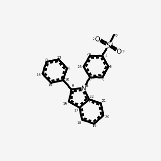 CS(=O)(=O)c1ccc(-n2c(-c3ccccc3)cc3ccccc32)cc1